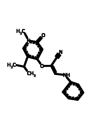 CC(C)c1cn(C)c(=O)cc1O/C(C#N)=C/Nc1ccccc1